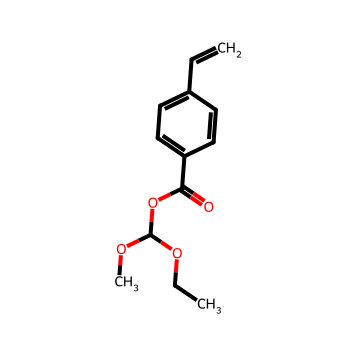 C=Cc1ccc(C(=O)OC(OC)OCC)cc1